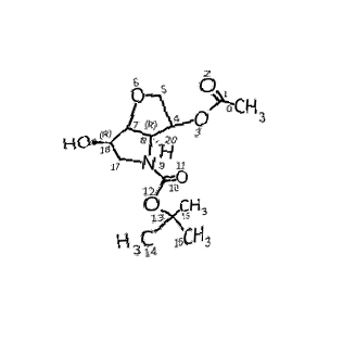 CC(=O)OC1COC2[C@@H]1N(C(=O)OC(C)(C)C)C[C@H]2O